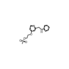 CS(=O)(=O)OCCOc1ccnc(CNc2ccccc2)c1